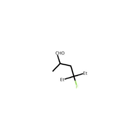 CCC(F)(CC)CC(C)C=O